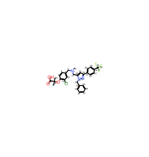 CN(Cc1ccc(OC(C)(C)C(=O)O)c(Cl)c1)Cc1cc(-c2ccc(C(F)(F)F)cc2)nn1Cc1ccccc1